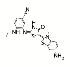 CCNc1ccc(C#N)cc1/N=C1\NC(=O)/C(=C2/Sc3cc(N)ccc3N2C)S1